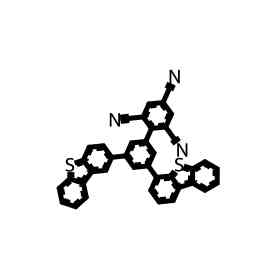 N#Cc1cc(C#N)c(-c2cc(-c3ccc4sc5ccccc5c4c3)cc(-c3cccc4c3sc3ccccc34)c2)c(C#N)c1